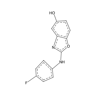 Oc1ccc2oc(Nc3ccc(F)cc3)nc2c1